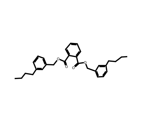 CCCCc1cccc(COC(=O)c2ccccc2C(=O)OCc2cccc(CCCC)c2)c1